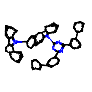 c1ccc(-c2cccc(-c3nc(-c4cccc(-c5ccccc5)c4)nc(-n4c5ccccc5c5cc6cc(-n7c8ccccc8c8ccc9ccccc9c87)ccc6cc54)n3)c2)cc1